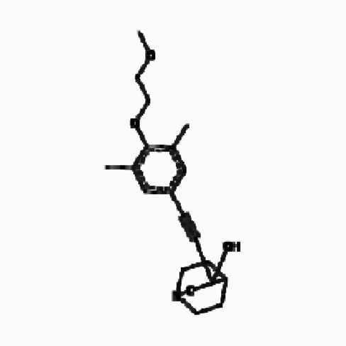 COCCOc1c(C)cc(C#CC2(O)CN3CCC2CC3)cc1C